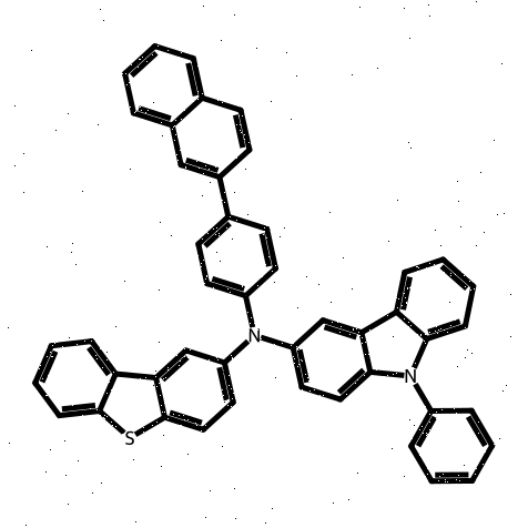 c1ccc(-n2c3ccccc3c3cc(N(c4ccc(-c5ccc6ccccc6c5)cc4)c4ccc5sc6ccccc6c5c4)ccc32)cc1